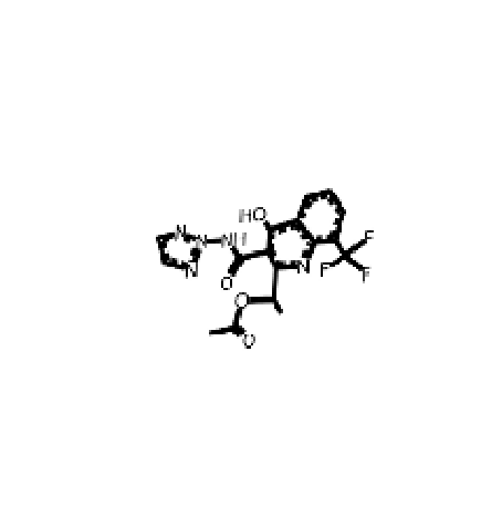 CC(=O)OC(C)c1nc2c(C(F)(F)F)cccc2c(O)c1C(=O)Nn1nccn1